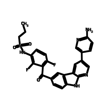 CCCS(=O)(=O)Nc1ccc(F)c(C(=O)c2ccc3[nH]c4ncc(-c5ccc(N)nc5)cc4c3c2)c1F